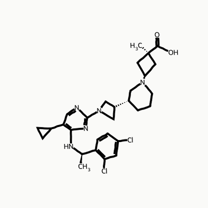 C[C@@H](Nc1nc(N2CC([C@H]3CCCN([C@H]4C[C@](C)(C(=O)O)C4)C3)C2)ncc1C1CC1)c1ccc(Cl)cc1Cl